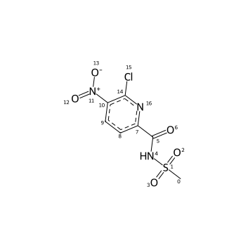 CS(=O)(=O)NC(=O)c1ccc([N+](=O)[O-])c(Cl)n1